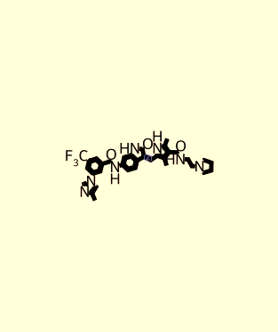 Cc1cn(-c2cc(C(=O)Nc3ccc4c(c3)NC(=O)/C4=C\c3[nH]c(C)c(C(=O)NCCN4CCCC4)c3C)cc(C(F)(F)F)c2)cn1